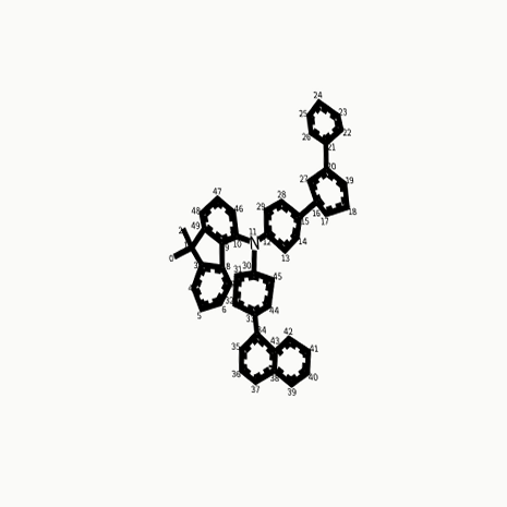 CC1(C)c2ccccc2-c2c(N(c3ccc(-c4cccc(-c5ccccc5)c4)cc3)c3ccc(-c4cccc5ccccc45)cc3)cccc21